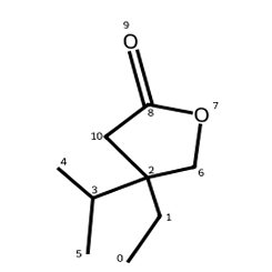 CCC1(C(C)C)COC(=O)C1